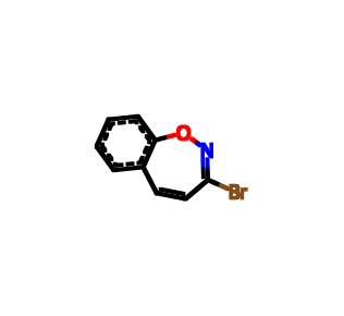 BrC1=NOc2ccccc2C=C1